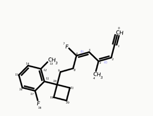 C#C/C=C(C)\C=C(\F)CCC1(c2c(C)cccc2F)CCC1